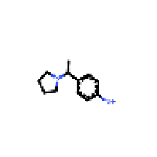 CC(c1ccc([NH])cc1)N1CCCC1